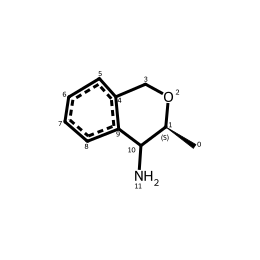 C[C@@H]1OCc2ccccc2C1N